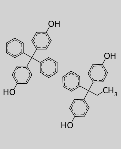 CCC(c1ccccc1)(c1ccc(O)cc1)c1ccc(O)cc1.Oc1ccc(C(c2ccccc2)(c2ccccc2)c2ccc(O)cc2)cc1